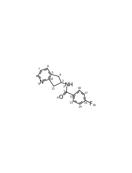 O=C(NC1Cc2cccnc2C1)c1ccc(F)cc1